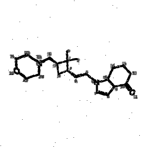 CC1(C)[C@@H](CCN2C=CC3C(=O)CCCC32)C[C@H]1CN1CCOCC1